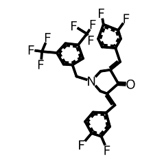 O=C1/C(=C/c2ccc(F)c(F)c2)CN(Cc2cc(C(F)(F)F)cc(C(F)(F)F)c2)C/C1=C\c1ccc(F)c(F)c1